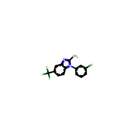 Cc1nc2cc(C(F)(F)F)ccc2n1-c1cccc(Br)c1